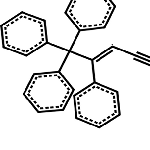 C#C[C]=C(c1ccccc1)C(c1ccccc1)(c1ccccc1)c1ccccc1